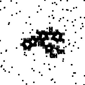 Cc1ccc(Nc2nc(C)c(-c3nc4ccccc4s3)c(N[C@@H]3C[C@H](CO)[C@@H](O)C3)n2)cc1